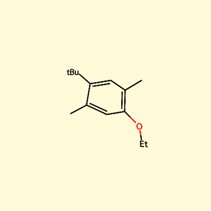 CCOc1cc(C)c(C(C)(C)C)cc1C